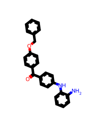 Nc1ccccc1Nc1ccc(C(=O)c2ccc(OCc3ccccc3)cc2)cc1